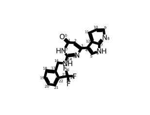 O=c1cc(-c2c[nH]c3ncccc23)nc(NCc2ccccc2C(F)(F)F)[nH]1